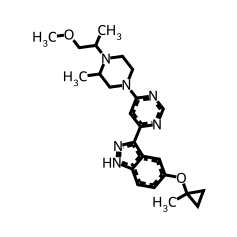 COCC(C)N1CCN(c2cc(-c3n[nH]c4ccc(OC5(C)CC5)cc34)ncn2)CC1C